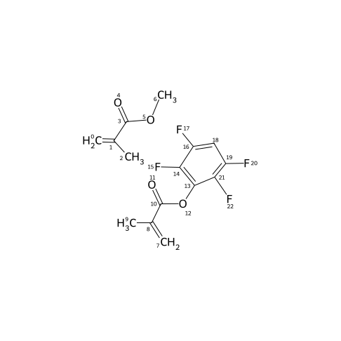 C=C(C)C(=O)OC.C=C(C)C(=O)Oc1c(F)c(F)cc(F)c1F